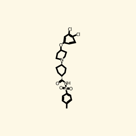 Cc1ccc(S(=O)(=O)NC(=O)[C@H]2CC[C@H](N3CCC(Oc4ccc(Cl)c(Cl)c4)CC3)CC2)cc1